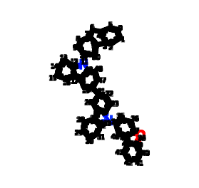 c1ccc2c(c1)Cc1ccc(-n3c4ccccc4c4cc(-c5ccc6c(c5)c5ccccc5n6-c5ccc6oc7ccccc7c6c5)ccc43)cc1-2